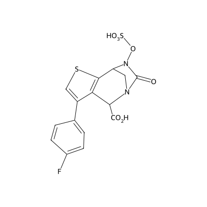 O=C(O)C1c2c(-c3ccc(F)cc3)csc2C2CN1C(=O)N2OS(=O)(=O)O